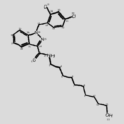 O=C(NCCCCCCCCCCO)c1nn(Cc2ccc(Cl)cc2Cl)c2ccccc12